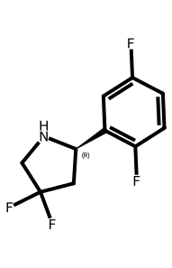 Fc1ccc(F)c([C@H]2CC(F)(F)CN2)c1